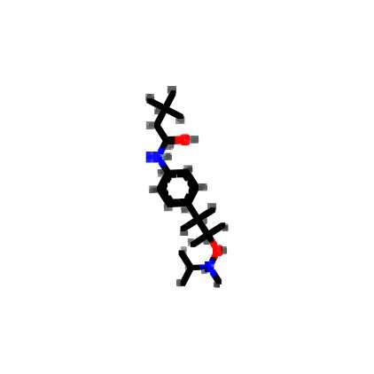 CC(C)N(C)OC(C)(C)C(C)(C)c1ccc(NC(=O)CC(C)(C)C)cc1